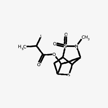 CC(I)C(=O)OC1C2CC3C(S2)C1N(C)S3(=O)=O